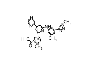 CC(=O)N1C[C@H](c2nc(Nc3cc(C)cc(-c4cn(C)nn4)c3)cc(-c3cnccn3)n2)CC[C@@H]1C